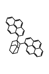 c1cc2ccc3ccc(C4C5CC6CC(C5)CC4(c4ccc5ccc7cccc8ccc4c5c78)C6)c4ccc(c1)c2c34